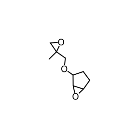 CC1(COC2CCC3OC23)CO1